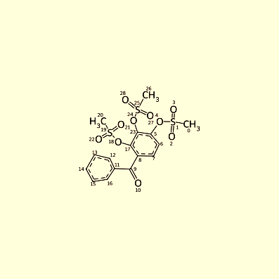 CS(=O)(=O)Oc1ccc(C(=O)c2ccccc2)c(OS(C)(=O)=O)c1OS(C)(=O)=O